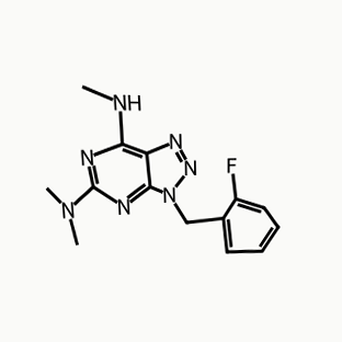 CNc1nc(N(C)C)nc2c1nnn2Cc1ccccc1F